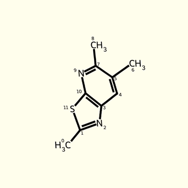 Cc1nc2cc(C)c(C)nc2s1